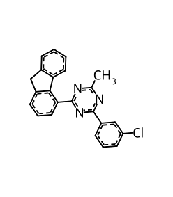 Cc1nc(-c2cccc(Cl)c2)nc(-c2cccc3c2-c2ccccc2C3)n1